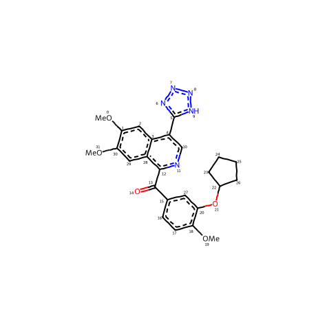 COc1cc2c(-c3nnn[nH]3)cnc(C(=O)c3ccc(OC)c(OC4CCCC4)c3)c2cc1OC